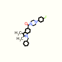 Cc1c(C)n(Cc2ccccc2)c2ccc(C(=O)N3CCN(c4ccc(F)cc4)CC3)cc12